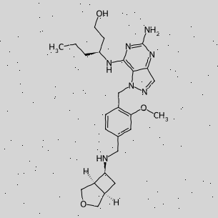 CCC[C@@H](CCO)Nc1nc(N)nc2cnn(Cc3ccc(CN[C@H]4C[C@H]5COC[C@H]54)cc3OC)c12